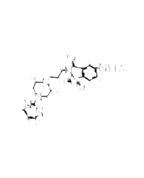 CC(=O)Nc1ccc2c(c1)C(=O)N(CCCN1CCN(c3ncccn3)CC1)S2(=O)=O